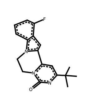 CC(C)(C)c1cc2n(c(=O)n1)CCn1c-2cc2c(F)cccc21